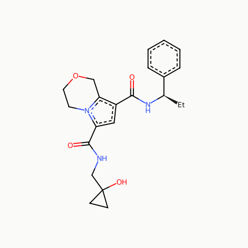 CC[C@@H](NC(=O)c1cc(C(=O)NCC2(O)CC2)n2c1COCC2)c1ccccc1